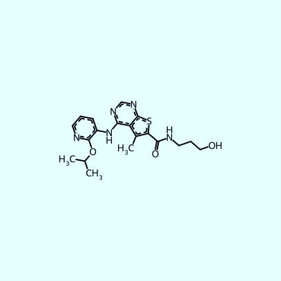 Cc1c(C(=O)NCCCO)sc2ncnc(Nc3cccnc3OC(C)C)c12